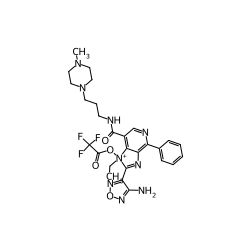 CC[N+]1(OC(=O)C(F)(F)F)C(c2nonc2N)=Nc2c(-c3ccccc3)ncc(C(=O)NCCCN3CCN(C)CC3)c21